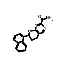 NC(=O)c1ncc2c(n1)OC(c1cccc3ccccc13)CC2